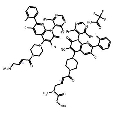 CC(C)c1ncnc(C(C)C)c1-n1c(=O)c(C#N)c(N2CCN(C(=O)/C=C/CN(C)C(=O)OC(C)(C)C)CC2)c2cc(Cl)c(-c3ccccc3F)nc21.CNC/C=C/C(=O)N1CCN(c2c(C#N)c(=O)n(-c3c(C(C)C)ncnc3C(C)C)c3nc(-c4ccccc4F)c(Cl)cc23)CC1.O=C(O)C(F)(F)F